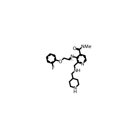 CNC(=O)c1ccnc(CNCC2CCNCC2)c1/N=C/COc1ccccc1F